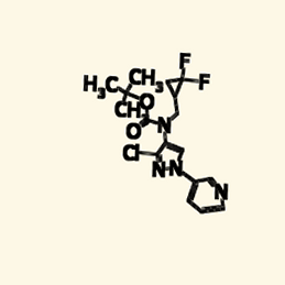 CC(C)(C)OC(=O)N(CC1CC1(F)F)c1cn(-c2cccnc2)nc1Cl